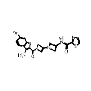 Cc1c(C(=O)N2CC(N3CC(NC(=O)c4nccs4)C3)C2)sc2cc(Br)ccc12